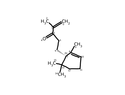 C=C(C)C(=O)CC[C@@H]1C(C)=CCCC1(C)C